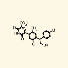 Cc1cc(C(CC#N)c2ccc(Cl)cc2)c(Cl)cc1-n1nc(C(=O)O)c(=O)[nH]c1=O